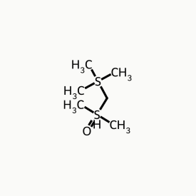 CS(C)(C)C[SH](C)(C)=O